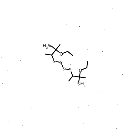 CCOC(C)([SiH3])C(C)SSSSC(C)C(C)([SiH3])OCC